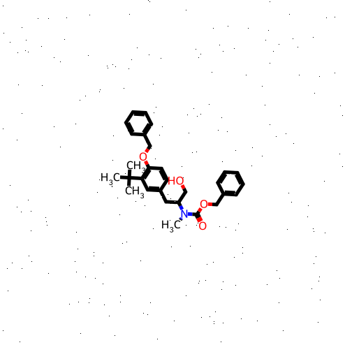 CN(C(=O)OCc1ccccc1)C(CO)Cc1ccc(OCc2ccccc2)c(C(C)(C)C)c1